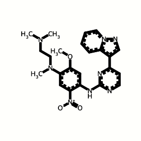 COc1cc(Nc2nccc(-c3cnn4ccccc34)n2)c([N+](=O)[O-])cc1N(C)CCN(C)C